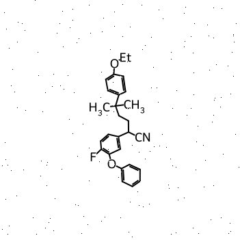 CCOc1ccc(C(C)(C)CCC(C#N)c2ccc(F)c(Oc3ccccc3)c2)cc1